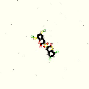 O=c1oc2c(SCl)cc(SCl)cc2cc1S(=O)(=O)c1cc2cc(Cl)cc(Cl)c2sc1=O